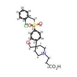 O=C(O)CCN1CCC2(CC1)COc1cc(S(=O)(=O)Cc3ccccc3Cl)ccc12